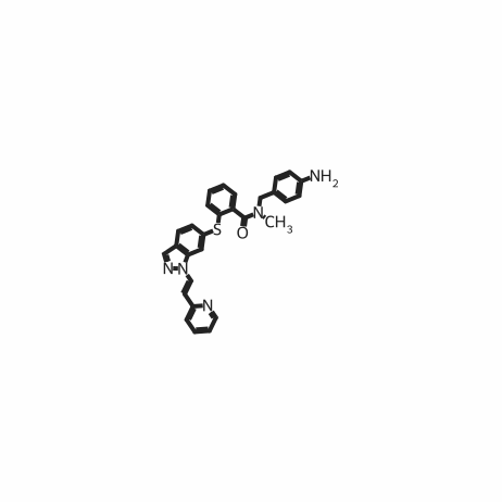 CN(Cc1ccc(N)cc1)C(=O)c1ccccc1Sc1ccc2cnn(C=Cc3ccccn3)c2c1